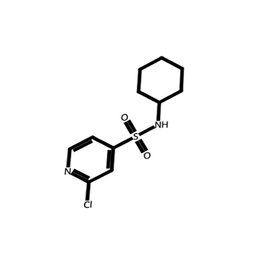 O=S(=O)(NC1CCCCC1)c1ccnc(Cl)c1